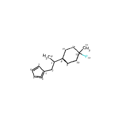 CC(CC1=C=CC=C1)C1CCC(C)(F)CC1